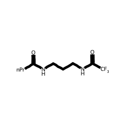 CCCC(=O)NCCCNC(=O)C(F)(F)F